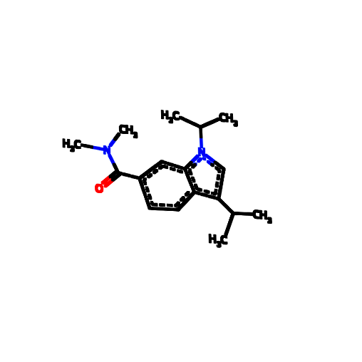 CC(C)c1cn(C(C)C)c2cc(C(=O)N(C)C)ccc12